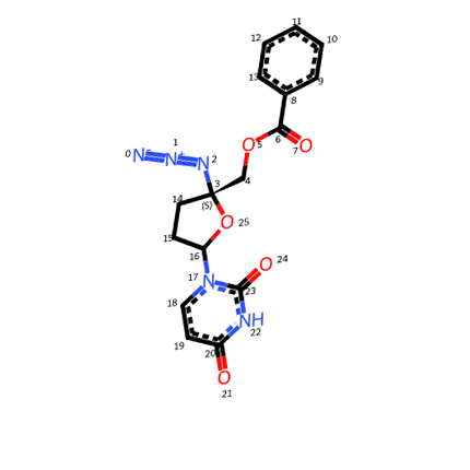 [N-]=[N+]=N[C@@]1(COC(=O)c2ccccc2)CCC(n2ccc(=O)[nH]c2=O)O1